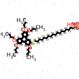 CCCCOc1cc2c3cc(OCCCC)c(OCCCC)cc3c3cc(SCCCCCCCCCCCCCCCCCCP(=O)(O)O)c(OCCCC)cc3c2cc1OCCCC